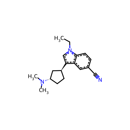 CCn1cc([C@H]2CC[C@H](N(C)C)C2)c2cc(C#N)ccc21